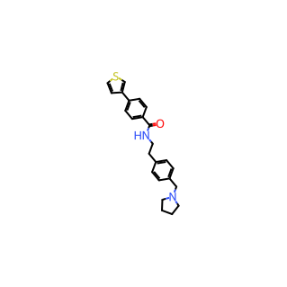 O=C(NCCc1ccc(CN2CCCC2)cc1)c1ccc(-c2ccsc2)cc1